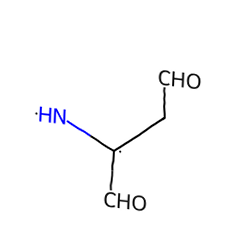 [NH][C](C=O)CC=O